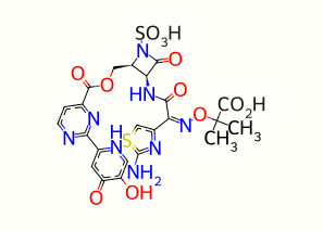 CC(C)(O/N=C(\C(=O)N[C@@H]1C(=O)N(S(=O)(=O)O)[C@@H]1COC(=O)c1ccnc(-c2cc(=O)c(O)c[nH]2)n1)c1csc(N)n1)C(=O)O